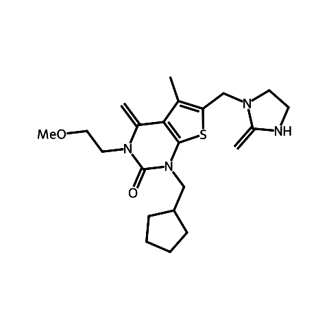 C=C1NCCN1Cc1sc2c(c1C)C(=C)N(CCOC)C(=O)N2CC1CCCC1